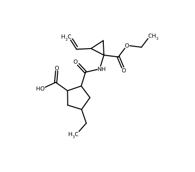 C=CC1CC1(NC(=O)C1CC(CC)CC1C(=O)O)C(=O)OCC